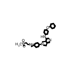 CS(=O)(=O)CCNCc1ccc(N2C=Cc3cncc(Nc4ccc(Oc5ccccc5)cc4)c3C2)cc1